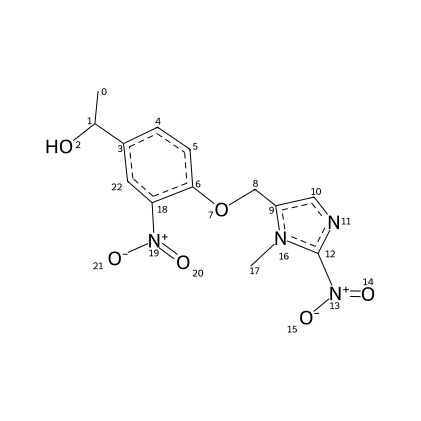 CC(O)c1ccc(OCc2cnc([N+](=O)[O-])n2C)c([N+](=O)[O-])c1